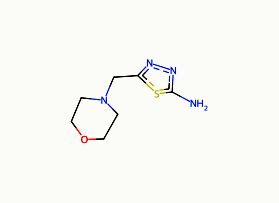 Nc1nnc(CN2CCOCC2)s1